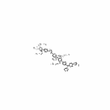 CCCCCCOc1cc(-c2ccc(-c3nnc(-c4ccc(C(C)(C)c5cc(OCCCCCC)c(-c6ccc(N(c7ccccc7)c7ccc(C)cc7)cc6)cc5OCCCCCC)cc4)o3)cc2)c(OCCCCCC)cc1C